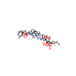 CC(=C\C=C\C(C)=C\[C@H](O)[C@@H](O)C[C@H](C)O)/C=C(C)/C=C/C(=O)OC1CCCCC1